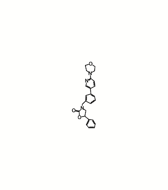 O=C1OC(c2ccccc2)CN1Cc1cccc(-c2ccc(N3CCOCC3)nc2)c1